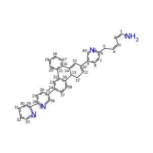 N/C=C\C=C/Cc1ccc(C2=CCC3C(=C2)c2ccccc2-c2cc(-c4ccc(-c5ccccn5)nc4)ccc23)cn1